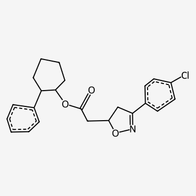 O=C(CC1CC(c2ccc(Cl)cc2)=NO1)OC1CCCCC1c1ccccc1